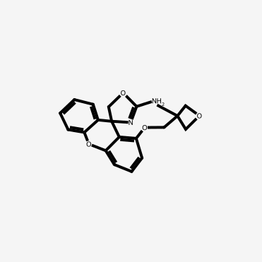 CC1(COc2cccc3c2C2(COC(N)=N2)c2ccccc2O3)COC1